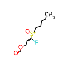 CCCCCC[S+]([O-])C(F)=CCOC=O